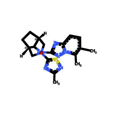 Cc1nsc(N2C[C@H]3CC[C@@H](C2)C3Nc2nc3ccc(C)c(C)n3n2)n1